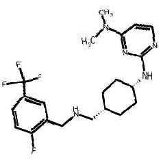 CN(C)c1ccnc(N[C@H]2CC[C@@H](CNCc3cc(C(F)(F)F)ccc3F)CC2)n1